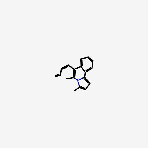 C=C/C=C\c1c(C)n2c(C)ccc2c2ccccc12